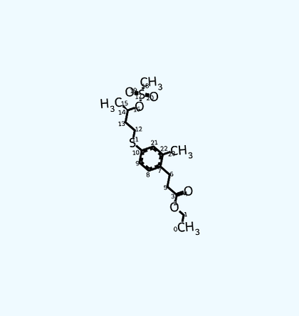 CCOC(=O)CCc1ccc(SCC[C@@H](C)OS(C)(=O)=O)cc1C